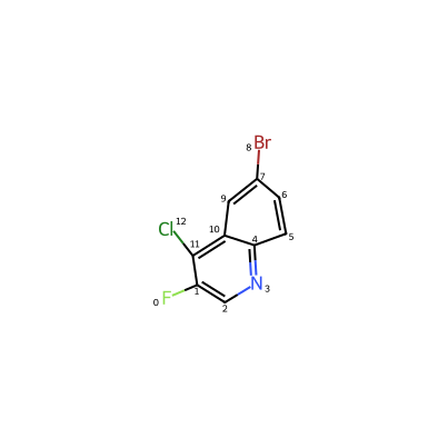 Fc1cnc2ccc(Br)cc2c1Cl